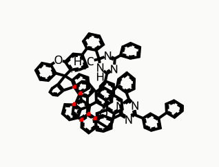 CC1(c2ccccc2-c2ccc3c(c2)Oc2ccccc2C32C3=C(C=CCC3)c3c(-c4cccc(-c5cccc(-c6nc(-c7cccc(-c8ccccc8)c7)nc(-c7ccccc7-c7ccc8c(c7)Oc7ccccc7C87c8ccccc8-c8ccccc87)n6)c5)c4)cccc32)N=C(c2ccccc2)N=C(c2ccc3c4c(ccc3c2)CCC=C4)N1